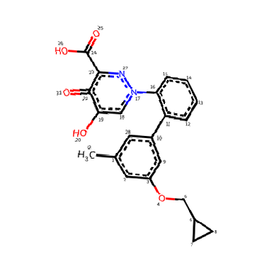 Cc1cc(OCC2CC2)cc(-c2ccccc2-n2cc(O)c(=O)c(C(=O)O)n2)c1